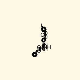 O=C(Nc1cc([C@H]2CC[C@@H](OC(=O)Oc3ccc(I)cc3)C2)n[nH]1)OCc1ccccc1